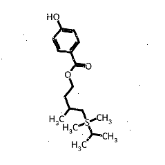 CC(CCOC(=O)c1ccc(O)cc1)CS(C)(C)C(C)C